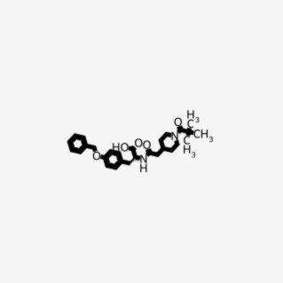 CC(C)(C)C(=O)N1CCC(CC(=O)N[C@@H](Cc2ccc(OCc3ccccc3)cc2)C(=O)O)CC1